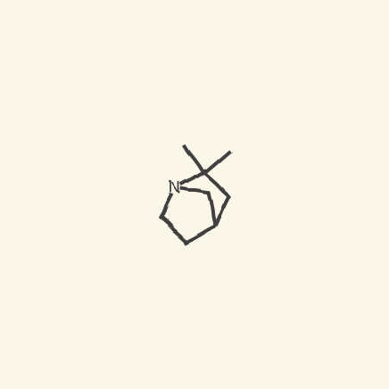 CC1(C)CC2CCN1C2